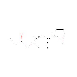 C=CC(=O)Oc1ccc(-c2ccco2)cc1